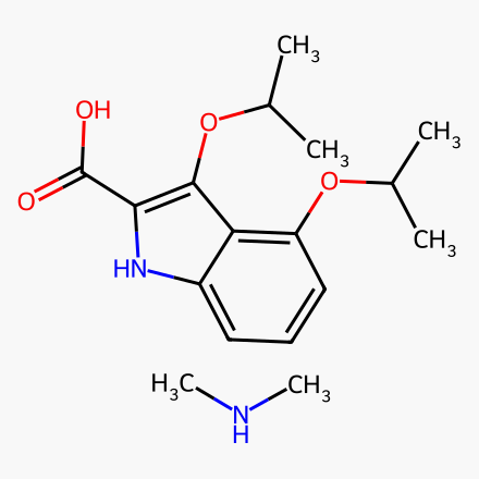 CC(C)Oc1cccc2[nH]c(C(=O)O)c(OC(C)C)c12.CNC